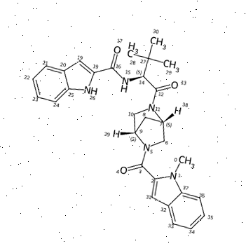 Cn1c(C(=O)N2C[C@@H]3C[C@H]2CN3C(=O)[C@@H](NC(=O)c2cc3ccccc3[nH]2)C(C)(C)C)cc2ccccc21